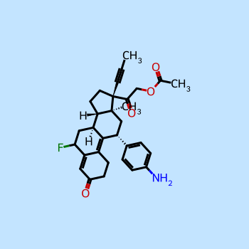 CC#C[C@]1(C(=O)COC(C)=O)CC[C@H]2[C@@H]3CC(F)C4=CC(=O)CCC4=C3[C@@H](c3ccc(N)cc3)C[C@@]21C